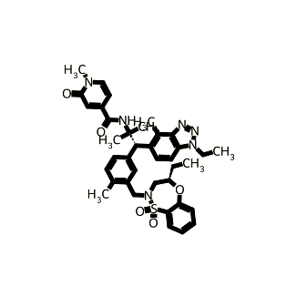 CC[C@@H]1CN(Cc2cc([C@@H](c3ccc4c(nnn4CC)c3C)C(C)(C)NC(=O)c3ccn(C)c(=O)c3)ccc2C)S(=O)(=O)c2ccccc2O1